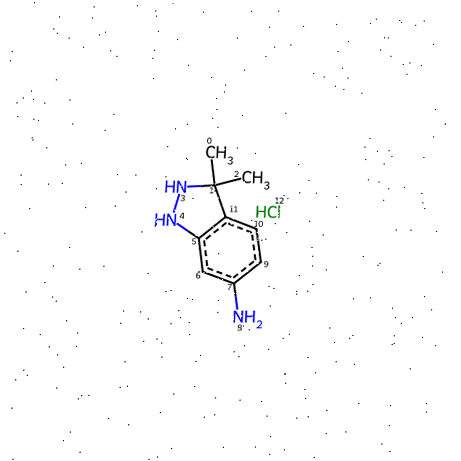 CC1(C)NNc2cc(N)ccc21.Cl